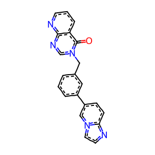 O=c1c2cccnc2ncn1Cc1cccc(-c2ccc3nccn3c2)c1